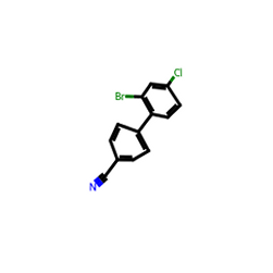 N#Cc1ccc(-c2ccc(Cl)cc2Br)cc1